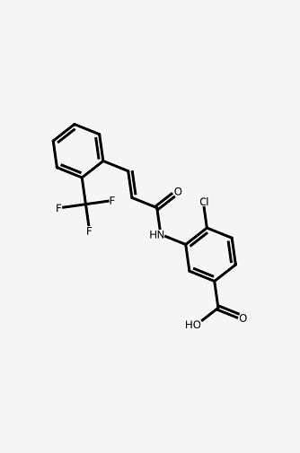 O=C(C=Cc1ccccc1C(F)(F)F)Nc1cc(C(=O)O)ccc1Cl